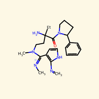 C=Nc1[nH]ccc1/C(=N\C)N(C)CCC(N)(CC)C(=O)N1CCCC1c1ccccc1